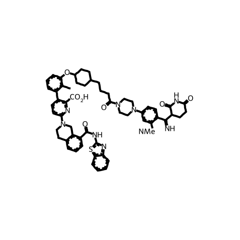 CNc1cc(N2CCN(C(=O)CCCC3CCC(Oc4cccc(-c5ccc(N6CCc7cccc(C(=O)Nc8nc9ccccc9s8)c7C6)nc5C(=O)O)c4C)CC3)CC2)ccc1C(=N)C1CCC(=O)NC1=O